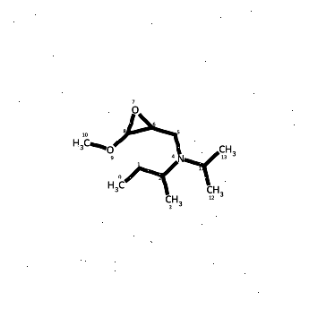 CCC(C)N(CC1OC1OC)C(C)C